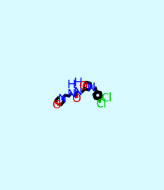 O=C(NCCN1CCOCC1)NCC1CN(Cc2ccc(Cl)c(Cl)c2)CCO1